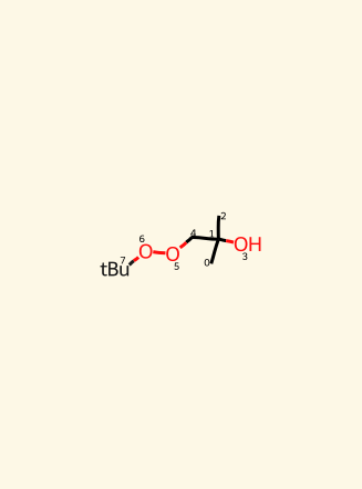 CC(C)(O)COOC(C)(C)C